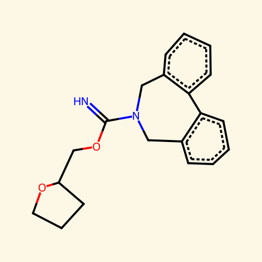 N=C(OCC1CCCO1)N1Cc2ccccc2-c2ccccc2C1